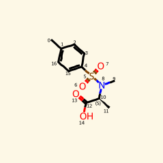 Cc1ccc(S(=O)(=O)N(C)[C@@H](C)C(=O)O)cc1